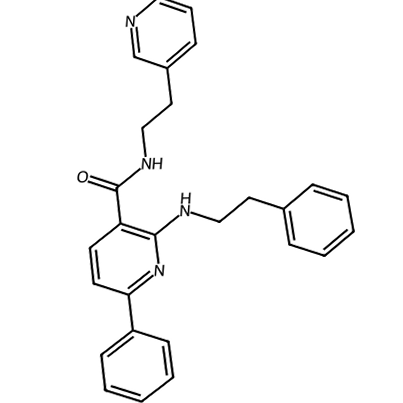 O=C(NCCc1cccnc1)c1ccc(-c2ccccc2)nc1NCCc1ccccc1